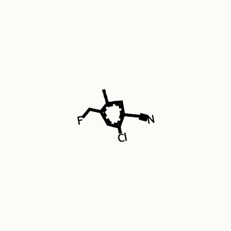 Cc1cc(C#N)c(Cl)cc1CF